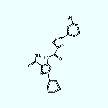 NC(=O)c1nn(-c2ccccc2)cc1NC(=O)c1coc(-c2ccnc(N)c2)n1